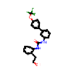 O=C(Nc1cccc(-c2ccc(OC(F)(F)F)cc2)c1)Nc1ccccc1CCO